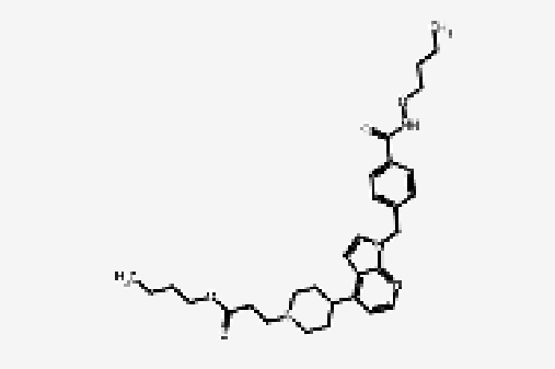 CCCCONC(=O)c1ccc(Cn2ccc3c(C4CCN(CCC(=O)OCCCC)CC4)ccnc32)cc1